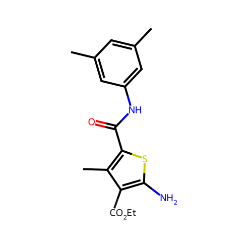 CCOC(=O)c1c(N)sc(C(=O)Nc2cc(C)cc(C)c2)c1C